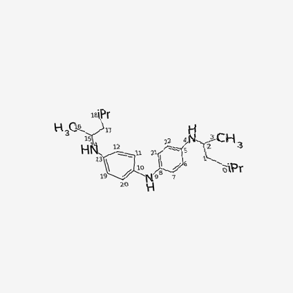 CC(C)CC(C)Nc1ccc(Nc2ccc(NC(C)CC(C)C)cc2)cc1